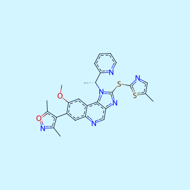 COc1cc2c(cc1-c1c(C)noc1C)ncc1nc(Sc3ncc(C)s3)n([C@H](C)c3ccccn3)c12